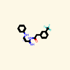 N=C(/C=C\Nc1ccccc1)NC(=O)Cc1cccc(C(F)(F)F)c1